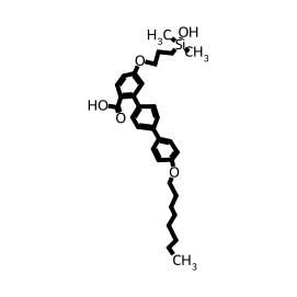 CCCCCCCCOc1ccc(-c2ccc(-c3cc(OCCC[Si](C)(C)O)ccc3C(=O)O)cc2)cc1